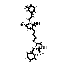 CCC(C)[C@H]1CN(CCCC[C@H]2CNC(=N)N2CC2CCCCC2)C(=N)N1CCc1cccc(C)c1